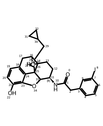 O=C(Cc1cccc(I)c1)N[C@@H]1CC[C@@]2(O)C3Cc4ccc(O)c5c4C2(CCN3CC2CC2)C1O5